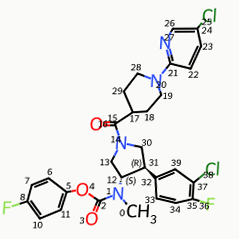 CN(C(=O)Oc1ccc(F)cc1)[C@@H]1CN(C(=O)C2CCN(c3ccc(Cl)cn3)CC2)C[C@H]1c1ccc(F)c(Cl)c1